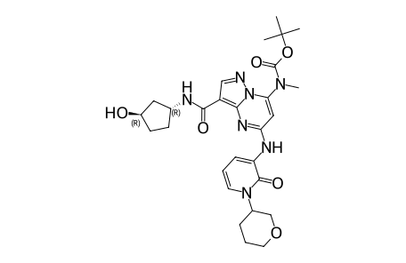 CN(C(=O)OC(C)(C)C)c1cc(Nc2cccn(C3CCCOC3)c2=O)nc2c(C(=O)N[C@@H]3CC[C@@H](O)C3)cnn12